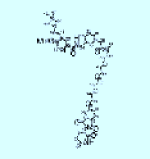 C=C1CCC(N2C(=O)c3ccc(OCCOCCOCCOCCN(C)C(=O)Cc4cccc(CNC(=O)c5cc(/C=C/C6CC7(CC7)C6)c(OC)cn5)c4)cc3C2=O)C(=O)N1